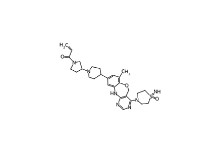 C=CC(=O)N1CCC(N2CCC(c3cc(C)c4c(c3)Nc3ncnc(N5CCS(=N)(=O)CC5)c3CO4)CC2)C1